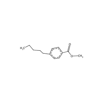 CCCCCc1ccc(C(=O)OC)cc1